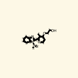 Cc1c(OCCO)ccnc1-c1nc2ccccc2n1[S+](C)[O-]